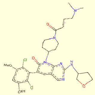 COc1cc(OC)c(Cl)c(-c2cc3cnc(NC4CCOC4)nc3n(C3CCN(C(=O)/C=C/CN(C)C)CC3)c2=O)c1Cl